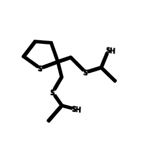 CC(S)SCC1(CSC(C)S)CCCS1